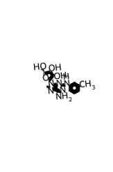 Cc1cccc(Nc2nc(N)c3ncn([C@@H]4O[C@H](CO)C(O)C4O)c3n2)c1